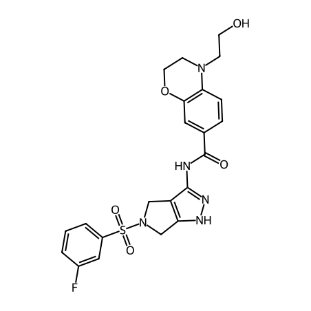 O=C(Nc1n[nH]c2c1CN(S(=O)(=O)c1cccc(F)c1)C2)c1ccc2c(c1)OCCN2CCO